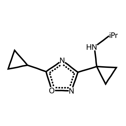 CC(C)NC1(c2noc(C3CC3)n2)CC1